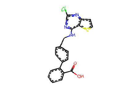 O=C(O)c1ccccc1-c1ccc(CNc2nc(Cl)nc3ccsc23)cc1